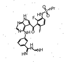 CCCS(=O)(=O)Nc1ccc(F)c(C(=O)c2c[nH]c3ncnc(Nc4cccc(C(=N)NC=N)c4)c23)c1F